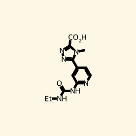 CCNC(=O)Nc1cc(-c2nnc(C(=O)O)n2C)ccn1